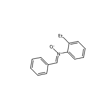 CCc1ccccc1[N+]([O-])=Cc1ccccc1